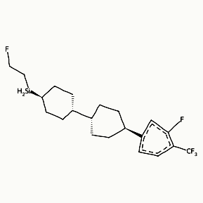 FCC[SiH2][C@H]1CC[C@H]([C@H]2CC[C@H](c3ccc(C(F)(F)F)c(F)c3)CC2)CC1